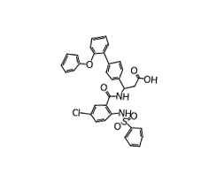 O=C(O)CC(NC(=O)c1cc(Cl)ccc1NS(=O)(=O)c1ccccc1)c1ccc(-c2ccccc2Oc2ccccc2)cc1